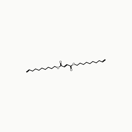 C=CCCCCCCCCOC(=O)C=CC(=O)OCCCCCCCCC=C